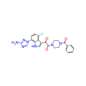 Nc1ncn(-c2ccc(F)c3c(C(=O)C(=O)N4CCN(C(=O)c5ccccc5)CC4)c[nH]c23)n1